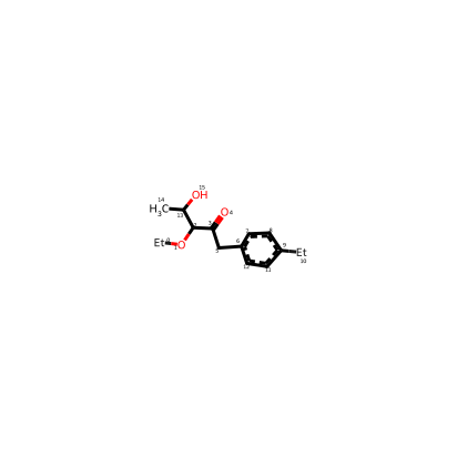 CCOC(C(=O)Cc1ccc(CC)cc1)C(C)O